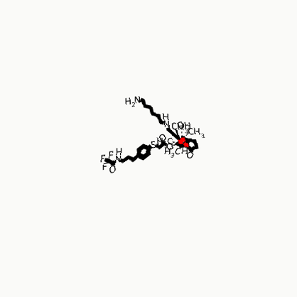 C[C@@H]1CC[C@@]23CCC(=O)[C@H]2[C@]1(C)[C@H](OC(=O)CSc1ccc(CCCNC(=O)C(F)(F)F)cc1)C[C@](C)(CNCCCCCCN)[C@@H](O)[C@@H]3C